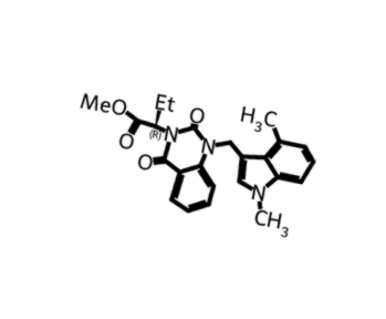 CC[C@H](C(=O)OC)n1c(=O)c2ccccc2n(Cc2cn(C)c3cccc(C)c23)c1=O